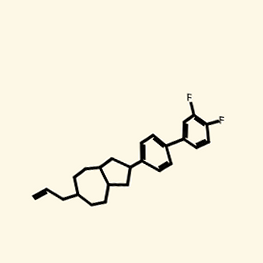 C=CCC1CCC2CC(c3ccc(-c4ccc(F)c(F)c4)cc3)CC2CC1